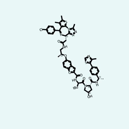 Cc1ncsc1-c1ccc([C@H](C)NC(=O)[C@@H]2C[C@@H](O)CN2C(=O)C(NC(=O)c2cc3cc(O[C@@H](C)CNC(=O)C[C@@H]4N=C(c5ccc(Cl)cc5)c5c(sc(C)c5C)-n5c(C)nnc54)ccc3o2)C(C)(C)C)cc1